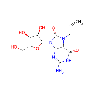 C=CCN1C(=O)N([C@@H]2O[C@H](CO)[C@@H](O)[C@H]2O)C2N=C(N)NC(=O)C21